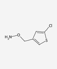 NOCc1csc(Cl)c1